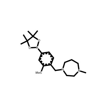 CSc1cc(B2OC(C)(C)C(C)(C)O2)ccc1CN1CCCN(C)CC1